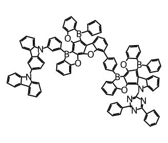 c1ccc(B2c3ccccc3Oc3c4c(c5oc6c(-c7ccc(B8c9ccccc9Oc9c8c8c(c%10c%11ccccc%11n(-c%11nc(-c%12ccccc%12)nc(-c%12ccccc%12)n%11)c9%10)B(c9ccccc9)c9ccccc9O8)cc7)cccc6c5c32)Oc2ccccc2B4c2cccc(-n3c4ccccc4c4cc(-n5c6ccccc6c6ccccc65)ccc43)c2)cc1